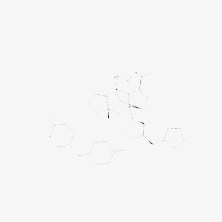 CC1CCN(CC2CCN(C[C@@H]3O[C@@H](C45C[C@@H]6[C@H](C)CC[C@H]6C6(C=O)CC4C=C(C(C)C)[C@]65C(=O)O)C[C@H]3CC3CCCC3)CC2)CC1